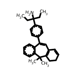 CCC(N)(CC)c1ccc(C2=CC3=C(CCC=C3)C(C)(C)c3ccccc32)cc1